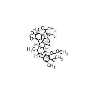 COCOc1c(OC)c(C)cc2c1[C@H]1[C@@H]3[C@@H]4SC[C@H](N)C(=O)[C@@]45c4c(OC(C)=O)c(C)c6c(c4[C@@H]5N3[C@@H](C)[C@H](C2)N1C)OCO6